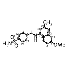 COc1ccc2c(NCc3ccc(S(N)(=O)=O)cc3)cc(C)nc2c1